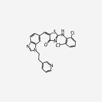 O=C1N=C(Nc2c(Cl)cccc2Cl)SC1=Cc1ccc2ncn(CCc3cccnc3)c2c1